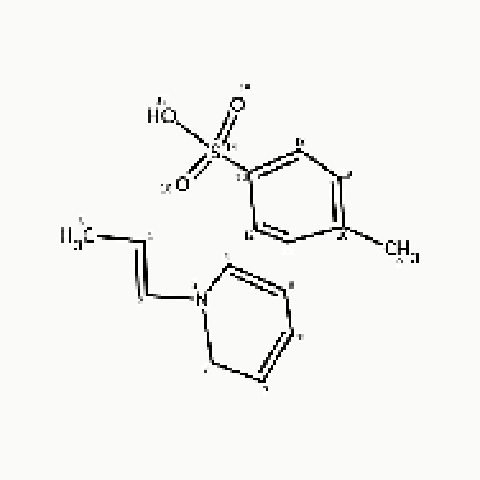 CC=CN1C=CC=CC1.Cc1ccc(S(=O)(=O)O)cc1